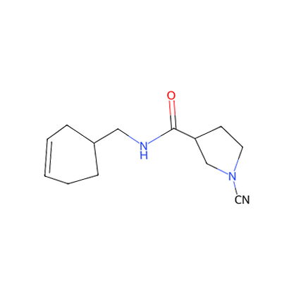 N#CN1CCC(C(=O)NCC2CC=CCC2)C1